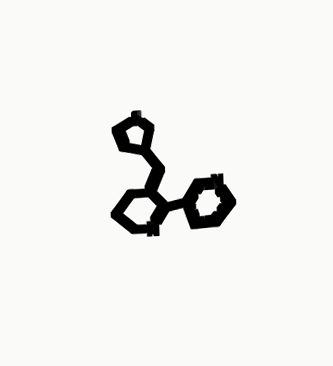 C1=CC(/C=C2\CCCN=C2c2cccnc2)CS1